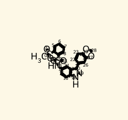 CS(=O)(=O)c1ccccc1S(=O)(=O)Nc1ccc2[nH]nc(-c3ccc4c(c3)OCO4)c2c1